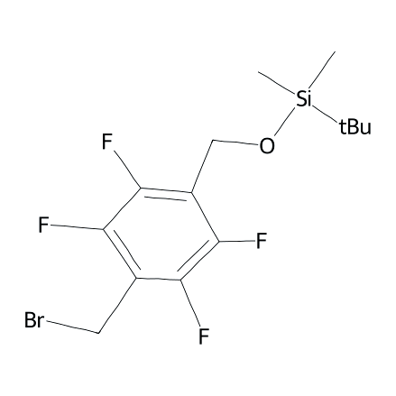 CC(C)(C)[Si](C)(C)OCc1c(F)c(F)c(CBr)c(F)c1F